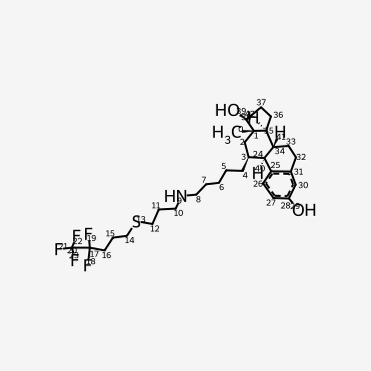 C[C@]12C[C@H](CCCCCNCCCSCCCC(F)(F)C(F)(F)F)[C@@H]3c4ccc(O)cc4CC[C@H]3[C@@H]1CC[C@@H]2O